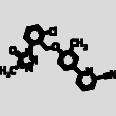 Cc1cc(-c2cccc(C#N)n2)ccc1OCc1c(Cl)cccc1-n1nnn(C)c1=O